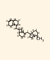 CC1CCCC2C(CC3CCCC4C(CC5CCCC6C=CCCN65)CN34)CCN12